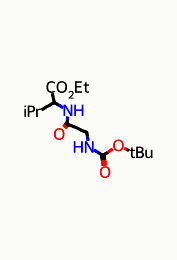 CCOC(=O)C(NC(=O)CNC(=O)OC(C)(C)C)C(C)C